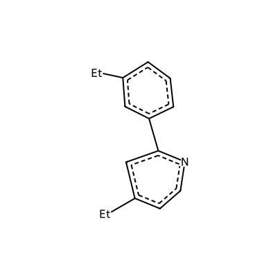 CCc1cccc(-c2cc(CC)ccn2)c1